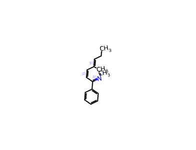 CC/C=C(C)/C=C\C(=N/C)c1ccccc1